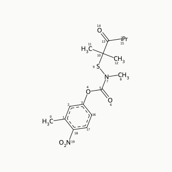 Cc1cc(OC(=O)N(C)SC(C)(C)C(=O)C(C)C)ccc1[N+](=O)[O-]